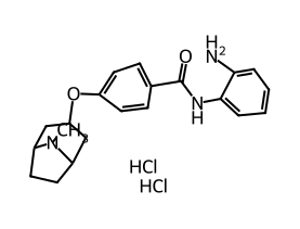 CN1C2CCC1CC(Oc1ccc(C(=O)Nc3ccccc3N)cc1)C2.Cl.Cl